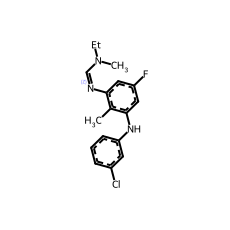 CCN(C)/C=N\c1cc(F)cc(Nc2cccc(Cl)c2)c1C